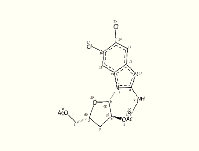 CC(=O)OC[C@H]1C[C@H](OC(C)=O)[C@@H](n2c(NC(C)C)nc3cc(Cl)c(Cl)cc32)O1